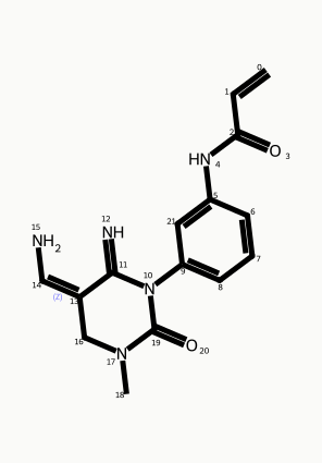 C=CC(=O)Nc1cccc(N2C(=N)/C(=C\N)CN(C)C2=O)c1